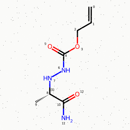 C=CCOC(=O)NN[C@@H](C)C(N)=O